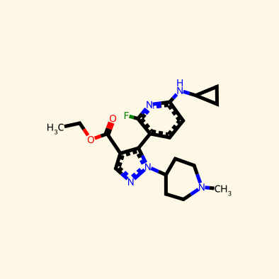 CCOC(=O)c1cnn(C2CCN(C)CC2)c1-c1ccc(NC2CC2)nc1F